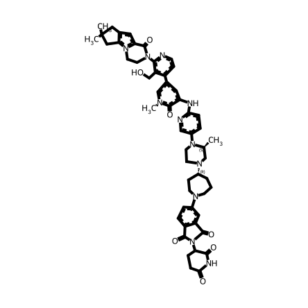 C[C@H]1CN([C@@H]2CCCN(c3ccc4c(c3)C(=O)N(C3CCC(=O)NC3=O)C4=O)CC2)CCN1c1ccc(Nc2cc(-c3ccnc(N4CCn5c(cc6c5CC(C)(C)C6)C4=O)c3CO)cn(C)c2=O)nc1